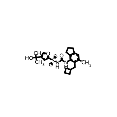 Cc1cc2c(c(NC(=O)NS(=O)(=O)c3cc(C(C)(C)O)co3)c1CC1CCC1)CCC2